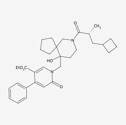 CCOC(=O)c1cn(CC2(O)CCN(C(=O)[C@H](C)CC3CCC3)CC23CCCC3)c(=O)cc1-c1ccccc1